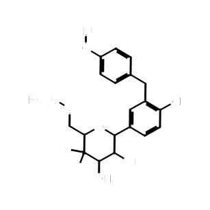 CCOc1ccc(Cc2cc(C3OC(COC(=O)O)C(F)(F)C(O)C3O)ccc2Cl)cc1